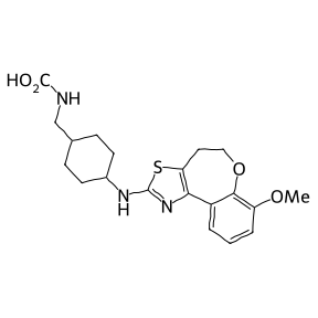 COc1cccc2c1OCCc1sc(NC3CCC(CNC(=O)O)CC3)nc1-2